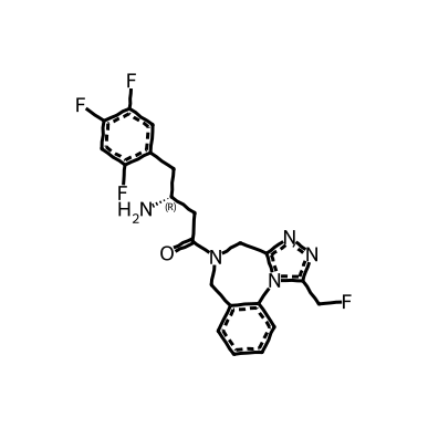 N[C@@H](CC(=O)N1Cc2ccccc2-n2c(CF)nnc2C1)Cc1cc(F)c(F)cc1F